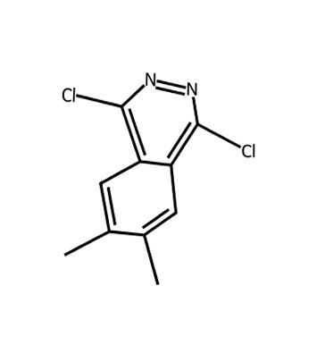 Cc1cc2c(Cl)nnc(Cl)c2cc1C